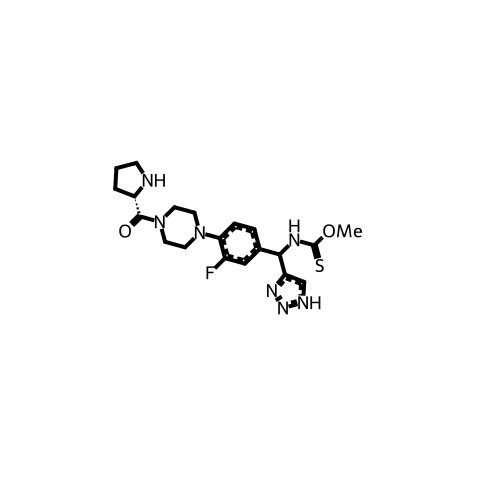 COC(=S)NC(c1ccc(N2CCN(C(=O)[C@@H]3CCCN3)CC2)c(F)c1)c1c[nH]nn1